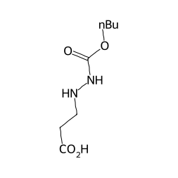 CCCCOC(=O)NNCCC(=O)O